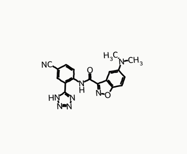 CN(C)c1ccc2onc(C(=O)Nc3ccc(C#N)cc3-c3nnn[nH]3)c2c1